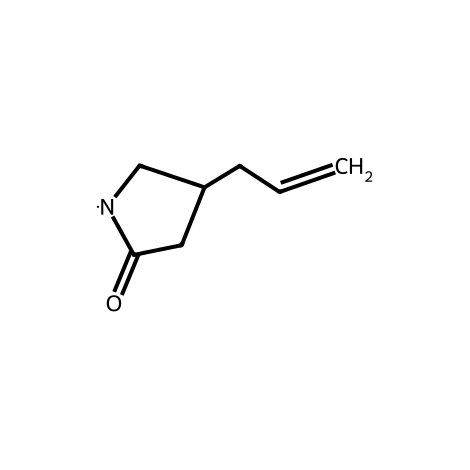 C=CCC1C[N]C(=O)C1